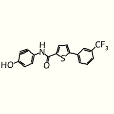 O=C(Nc1c#cc(O)cc1)c1ccc(-c2cccc(C(F)(F)F)c2)s1